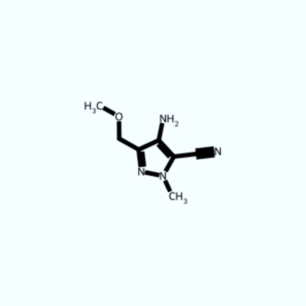 COCc1nn(C)c(C#N)c1N